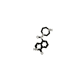 O=c1[nH]ccc2c([S+]([O-])N3CCCNCC3)cccc12